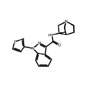 O=C(NC1CN2CCC1CC2)c1nn(-c2ccsc2)c2ccccc12